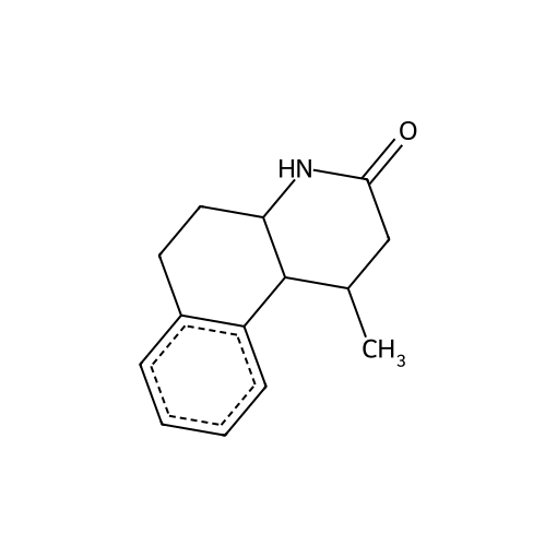 CC1CC(=O)NC2CCc3ccccc3C12